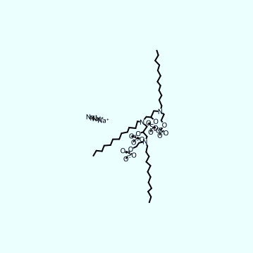 CCCCCCCCCCCCN(CCOS(=O)(=O)[O-])CC(CN(CCCCCCCCCCCC)CC(CN(CCCCCCCCCCCC)CCOS(=O)(=O)[O-])OS(=O)(=O)[O-])OS(=O)(=O)[O-].[Na+].[Na+].[Na+].[Na+]